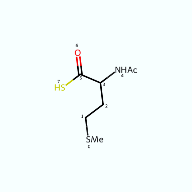 CSCCC(NC(C)=O)C(=O)S